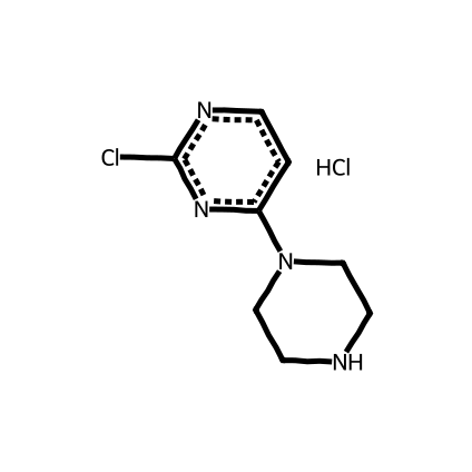 Cl.Clc1nccc(N2CCNCC2)n1